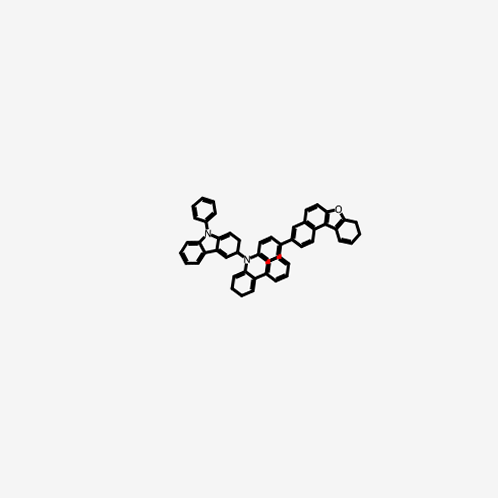 C1=Cc2c(oc3ccc4cc(-c5ccc(N(C6=CCCC=C6c6ccccc6)C6C=c7c(n(-c8ccccc8)c8ccccc78)=CC6)cc5)ccc4c23)CC1